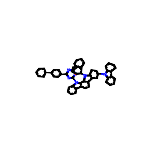 c1ccc(-c2ccc(-c3nc(-c4ccccc4)nc(-n4c5ccccc5c5ccc6c7cc(-n8c9ccccc9c9ccccc98)ccc7n(-c7ccccc7)c6c54)n3)cc2)cc1